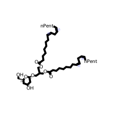 CCCCC/C=C\C/C=C\CCCCCCCC(=O)OCC(COC(=O)CCCCCCC/C=C\C/C=C\CCCCC)CO[C@H]1C[C@@H](O)C[C@@H](CO)O1